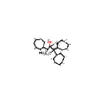 O=C(O)C(C1CCCCCC1)C(O)(C(=O)O)C(C(=O)O)(C1CCCCCC1)C1CCCCCC1